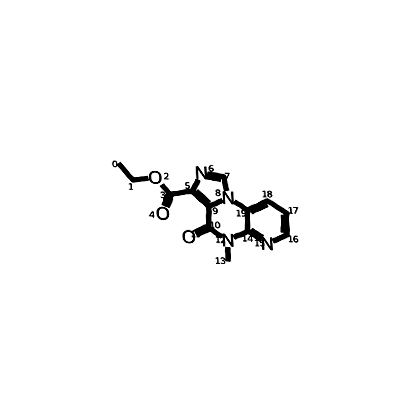 CCOC(=O)c1ncn2c1c(=O)n(C)c1ncccc12